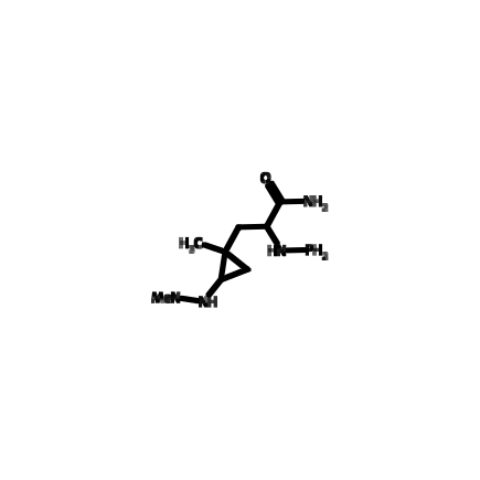 CNNC1CC1(C)CC(NP)C(N)=O